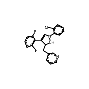 Fc1cccc(F)c1C1=CN(c2ccccc2Cl)NC1Cc1cccnc1